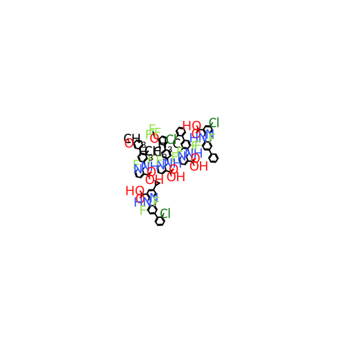 COc1cccc(-c2cc(F)c(Nc3ncccc3C(=O)O)c(F)c2C)c1.Cc1c(-c2cccc(OC(F)(F)F)c2)cc(F)c(Nc2ncccc2C(=O)O)c1F.Cc1c(-c2ccccc2Cl)cc(F)c(Nc2ncccc2C(=O)O)c1F.O=C(O)c1cc(C2CC2)cnc1Nc1c(F)cc(-c2ccccc2Cl)cc1F.O=C(O)c1cc(Cl)cnc1Nc1c(F)cc(-c2ccccc2)cc1F